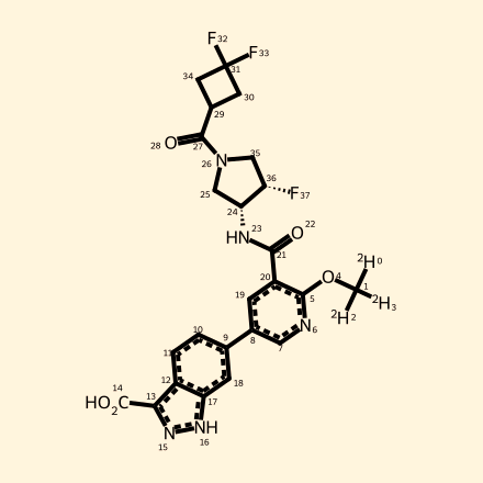 [2H]C([2H])([2H])Oc1ncc(-c2ccc3c(C(=O)O)n[nH]c3c2)cc1C(=O)N[C@@H]1CN(C(=O)C2CC(F)(F)C2)C[C@@H]1F